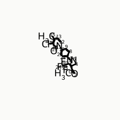 CC(=O)c1cnn(-c2ccc(-n3ccc(C)c(Cl)c3=O)cc2)c1C(F)(F)F